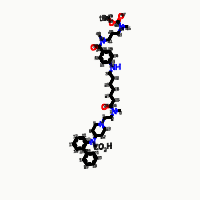 CN(CCN1CCC(N(C(=O)O)c2ccccc2-c2ccccc2)CC1)C(=O)CCCCCCNc1ccc(C(=O)N(C)CCCN(C)C(=O)OC(C)(C)C)cc1